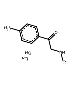 CC(C)NCC(=O)c1ccc(N)cc1.Cl.Cl